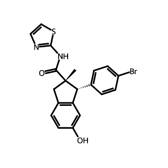 C[C@]1(C(=O)Nc2nccs2)Cc2ccc(O)cc2[C@H]1c1ccc(Br)cc1